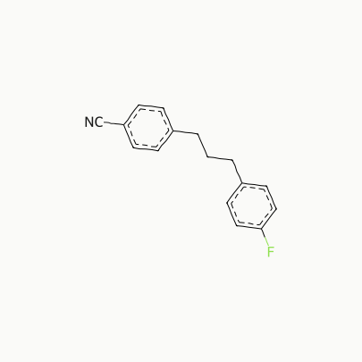 N#Cc1ccc(CCCc2ccc(F)cc2)cc1